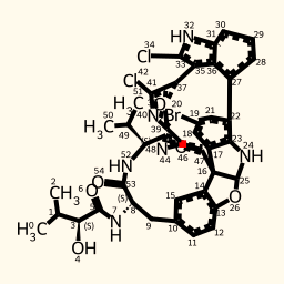 CC(C)[C@H](O)C(=O)N[C@H]1Cc2ccc3c(c2)C24c5cc(Br)cc(c5NC2O3)-c2cccc3[nH]c(Cl)c(c23)-c2oc(nc2Cl)-c2nc(oc24)[C@H](C(C)C)NC1=O